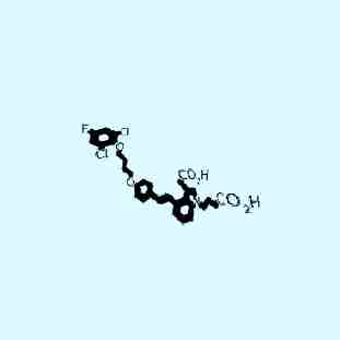 O=C(O)CCCn1cc(CC(=O)O)c2c(C=Cc3ccc(OCCCCOc4c(Cl)cc(F)cc4Cl)cc3)cccc21